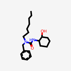 CCCCCCCN(Cc1ccccc1)C(=O)NC1CCCCC1O